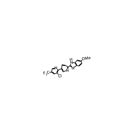 COc1ccc2nc(-c3ccc(-c4ncc(C(F)(F)F)cc4Cl)cn3)[nH]c2c1